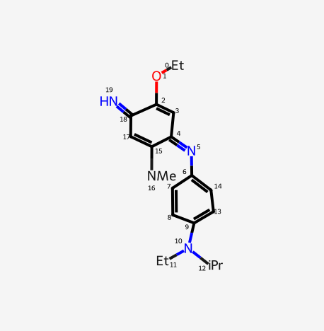 CCOC1=CC(=Nc2ccc(N(CC)C(C)C)cc2)C(NC)=CC1=N